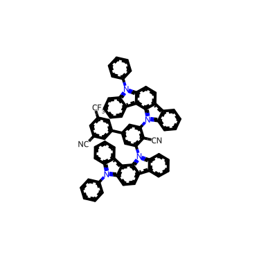 N#Cc1cc(-c2cc(-n3c4ccccc4c4ccc5c(c6ccccc6n5-c5ccccc5)c43)c(C#N)c(-n3c4ccccc4c4ccc5c(c6ccccc6n5-c5ccccc5)c43)c2)cc(C(F)(F)F)c1